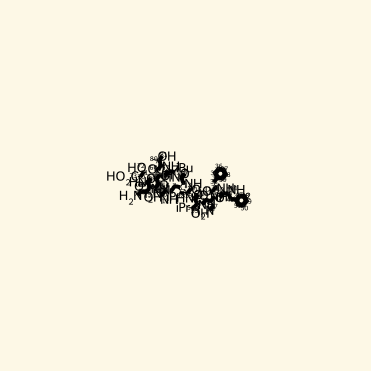 CC[C@H](C)[C@H](NC(=O)[C@@H](CCCNC(=N)N)NC(=O)[C@H](CC(C)C)NC(=O)[C@@H](NC(=O)[C@H](CN)NC(=O)[C@H](Cc1ccccc1)NC(=O)[C@H](N)Cc1ccccc1)[C@H](O)C(C)C)C(=O)N[C@H](C(=O)NCC(=O)N[C@H](C(=O)N[C@@H](CO)C(=O)O)[C@H](O)C(N)=O)[C@H](C)O